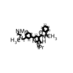 CNCCN(C)Cc1cccc(-c2cc(C(=O)N[C@@H](C)c3ccccc3)c3c(n2)N(C(C)C)C3)c1